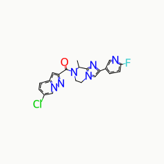 CC1c2nc(-c3ccc(F)nc3)cn2CCN1C(=O)c1cc2ccc(Cl)cn2n1